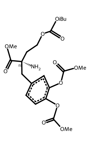 COC(=O)Oc1ccc(C[C@](N)(CCOC(=O)OCC(C)C)C(=O)OC)cc1OC(=O)OC